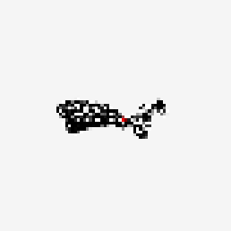 O=C(CCCC1(c2ccccc2)C2c3cc4c5c6c7c8c9c%10c%11c%12c(cc%13c%11c%11c%14c(c%15c3c5c8c%15c%11%10)C21CC%14C=%13)CC1CC(C=C6C4)C7C=9C%121)OCCc1ccsc1